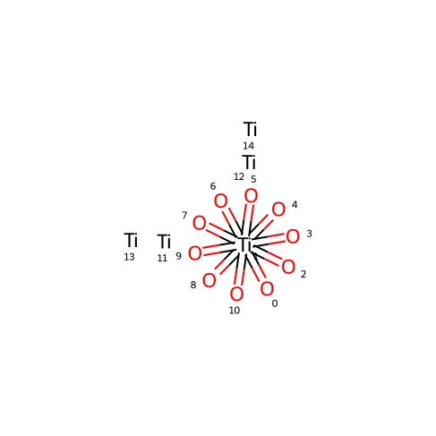 [O]=[Ti](=[O])(=[O])(=[O])(=[O])(=[O])(=[O])(=[O])(=[O])=[O].[Ti].[Ti].[Ti].[Ti]